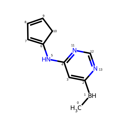 CBc1cc(NC2=CC=CC2)ncn1